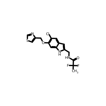 CC(F)(F)C(=O)NCc1cc2cc(Cl)c(OCc3cscn3)cc2[nH]1